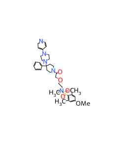 COc1cc(C)c(S(=O)(=O)N(C)CCOCC(=O)N2CCC(c3ccccc3)(N3CCN(c4ccncc4)CC3)CC2)c(C)c1